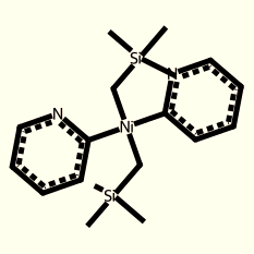 C[Si](C)(C)[CH2][Ni]([CH2][Si](C)(C)C)([c]1ccccn1)[c]1ccccn1